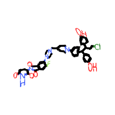 O=C1CCC(N2C(=O)c3cc(F)c(N4CCN(CC5CCN(c6ccc(C(=C(CCCl)c7ccc(O)cc7)c7ccc(O)cc7)cc6)CC5)CC4)cc3C2=O)C(=O)N1